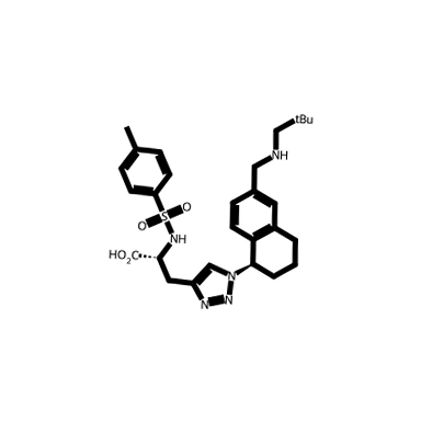 Cc1ccc(S(=O)(=O)N[C@H](Cc2cn([C@@H]3CCCc4cc(CNCC(C)(C)C)ccc43)nn2)C(=O)O)cc1